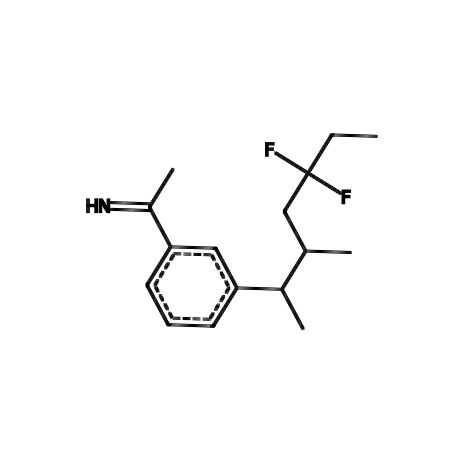 CCC(F)(F)CC(C)C(C)c1cccc(C(C)=N)c1